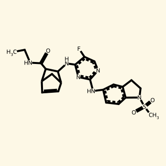 CCNC(=O)C1C2C=CC(C2)C1Nc1nc(Nc2ccc3c(c2)CCN3S(C)(=O)=O)ncc1F